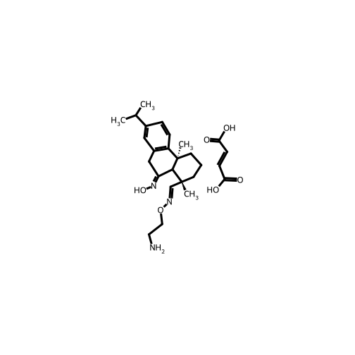 CC(C)c1ccc2c(c1)CC(=NO)C1[C@@](C)(C=NOCCN)CCC[C@]21C.O=C(O)/C=C/C(=O)O